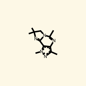 CC1=Nc2c(C)nn(C)c2C2=NC(C)(C)CN12